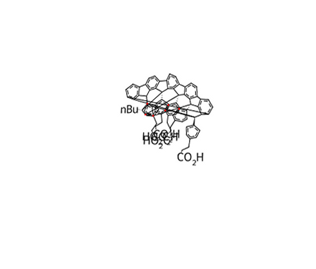 CCCC[C@]12C3=C4C5=C1[C@@]1(c6ccc(CCC(=O)O)cc6)c6c7ccc8c6[C@]5(c5ccc(CCC(=O)O)cc5)c5c-8ccc6c5[C@]4(c4ccc(CCC(=O)O)cc4)c4c-6ccc5c4[C@]3(c3ccc(CCC(=O)O)cc3)c3c-5ccc4c3[C@]2(c2ccc(CCC(=O)O)cc2)c2c-4ccc-7c21